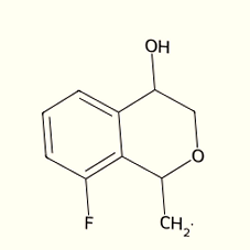 [CH2]C1OCC(O)c2cccc(F)c21